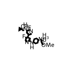 COC[C@@H](C)N[C@H]1CC[C@H](Nc2cc(-c3cnc(F)c(NCC4(C)CC4)c3)c(F)cn2)CC1